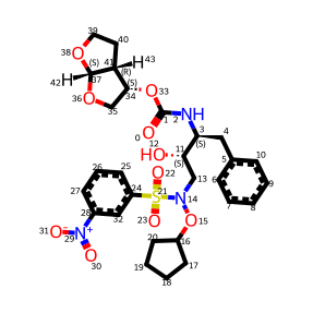 O=C(N[C@@H](Cc1ccccc1)[C@@H](O)CN(OC1CCCC1)S(=O)(=O)c1cccc([N+](=O)[O-])c1)O[C@@H]1CO[C@@H]2OCC[C@@H]21